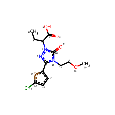 CCC(C(=O)O)n1nc(-c2ccc(Cl)s2)n(CCOC)c1=O